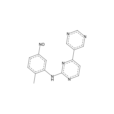 Cc1ccc(N=O)cc1Nc1nccc(-c2cncnc2)n1